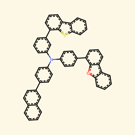 c1cc(-c2cccc3c2sc2ccccc23)cc(N(c2ccc(-c3ccc4ccccc4c3)cc2)c2ccc(-c3cccc4c3oc3ccccc34)cc2)c1